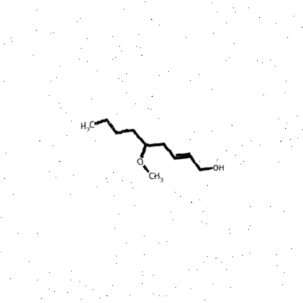 CCCCC(CC=CCO)OC